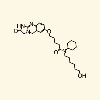 O=C1CN2Cc3cc(OCCCCC(=O)N(CCCCCCO)C4CCCCC4)ccc3N=C2N1